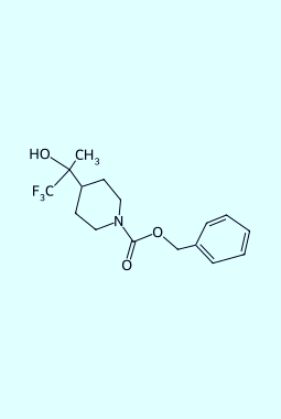 CC(O)(C1CCN(C(=O)OCc2ccccc2)CC1)C(F)(F)F